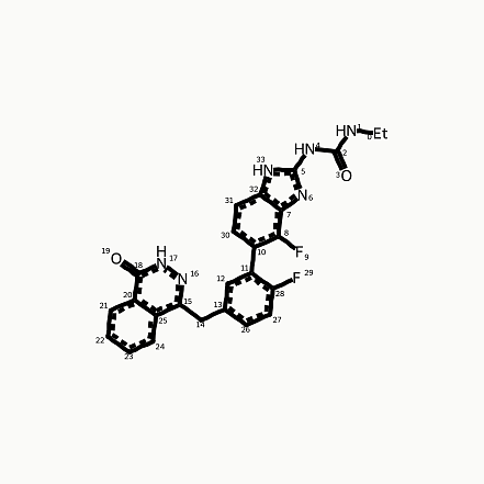 CCNC(=O)Nc1nc2c(F)c(-c3cc(Cc4n[nH]c(=O)c5ccccc45)ccc3F)ccc2[nH]1